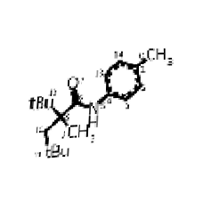 Cc1ccc(NC(=O)C(C)(CC(C)(C)C)C(C)(C)C)cc1